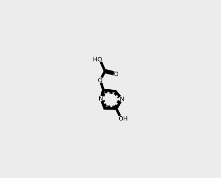 O=C(O)Oc1cnc(O)cn1